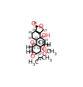 CO[C@@H]1[C@@]2(C(C)C)O[C@H]2[C@@H]2O[C@]23[C@]12O[C@H]2C[C@@]1(O)C2=C(CC[C@]31C)C(=O)OC2